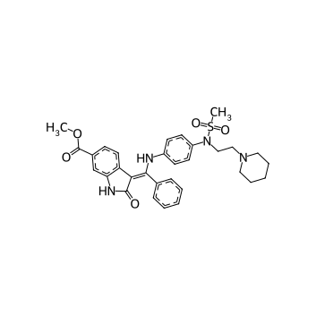 COC(=O)c1ccc2c(c1)NC(=O)C2=C(Nc1ccc(N(CCN2CCCCC2)S(C)(=O)=O)cc1)c1ccccc1